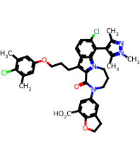 Cc1cc(OCCCc2c3n(c4c(-c5c(C)nn(C)c5C)c(Cl)ccc24)CCCN(c2cc4c(c(C(=O)O)c2)OCC4)C3=O)cc(C)c1Cl